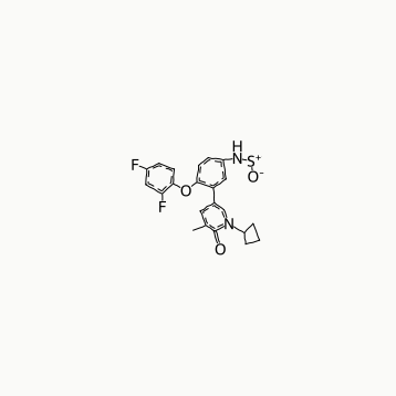 Cc1cc(-c2cc(N[S+](C)[O-])ccc2Oc2ccc(F)cc2F)cn(C2CCC2)c1=O